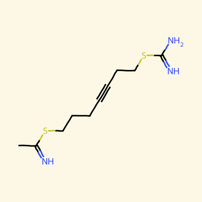 CC(=N)SCCCC#CCCSC(=N)N